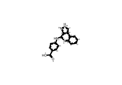 O=C(O)c1ccc(Nc2nc3ccccc3c3c[nH]nc23)cc1